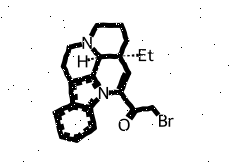 CC[C@@]12C=C(C(=O)CBr)n3c4c(c5ccccc53)CCN(CCC1)[C@H]42